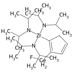 CC(C)[N](C(C)C)[Zr]([C]1=[C]([GeH2][F])C=CC1)([N](C(C)C)C(C)C)[N](C(C)C)C(C)C